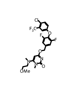 COCCN(C)c1cc(OCc2cc(F)c(Oc3ccc(Cl)c(C(F)(F)F)c3)c(F)c2)nc(=O)n1C